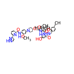 C#Cc1ccc(CNC(=O)[C@@H]2C[C@@H](O)CN2C(=O)[C@@H](NC(=O)COC2CCN(c3ccc(NC(=O)c4cccc(-c5cc[nH]n5)n4)c(OC)c3)CC2)C(C)(C)C)c(OC)c1